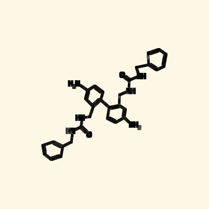 Nc1ccc(-c2ccc(N)cc2CNC(=O)NCc2ccccc2)c(CNC(=O)NCc2ccccc2)c1